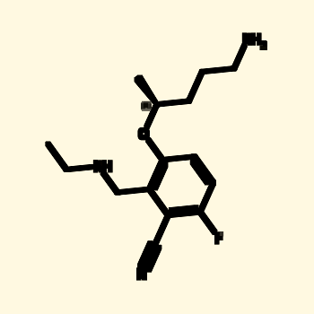 CCNCc1c(O[C@@H](C)CCCN)ccc(F)c1C#N